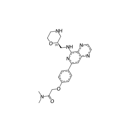 CN(C)C(=O)COc1ccc(-c2cc3nccnc3c(NC[C@@H]3CNCCO3)n2)cc1